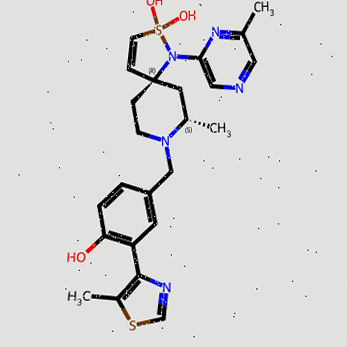 Cc1cncc(N2[C@]3(C=CS2(O)O)CCN(Cc2ccc(O)c(-c4ncsc4C)c2)[C@@H](C)C3)n1